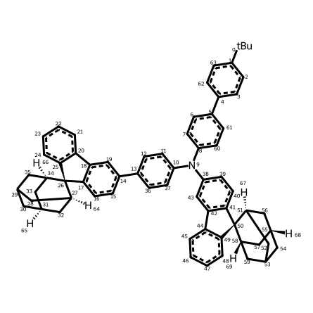 CC(C)(C)c1ccc(-c2ccc(N(c3ccc(-c4ccc5c(c4)-c4ccccc4[C@]54[C@@H]5CC6C[C@H](C5)C[C@H]4C6)cc3)c3ccc4c(c3)-c3ccccc3[C@]43[C@@H]4CC5C[C@@H](C4)C[C@@H]3C5)cc2)cc1